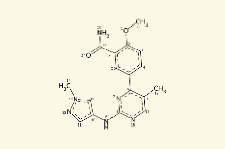 COc1ccc(-c2nc(Nc3cnn(C)c3)ncc2C)cc1C(N)=O